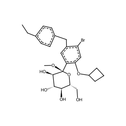 CCc1ccc(Cc2cc([C@]3(OC)O[C@H](CO)[C@@H](O)[C@H](O)[C@H]3O)c(OC3CCC3)cc2Br)cc1